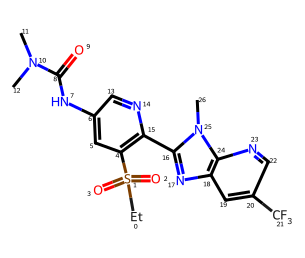 CCS(=O)(=O)c1cc(NC(=O)N(C)C)cnc1-c1nc2cc(C(F)(F)F)cnc2n1C